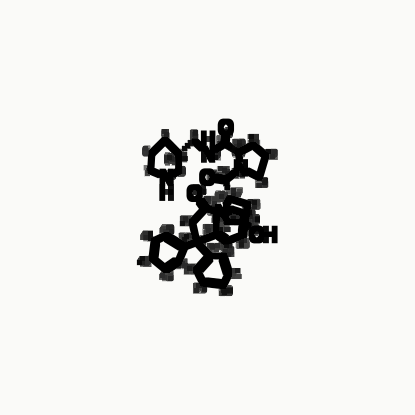 O=C(NC[C@H]1CCCNC1)[C@H]1CCCN1C(=O)[C@@H]1C[C@@H](O)CN1C(=O)CC(c1ccccc1)(c1ccccc1)c1ccccc1